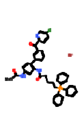 COC(=O)Nc1ccc(-c2cccc(C(=O)c3ccc(Cl)cn3)c2)c(NC(=O)CCCC[P+](c2ccccc2)(c2ccccc2)c2ccccc2)c1.[Br-]